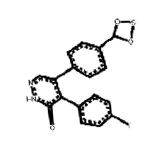 O=c1[nH]ncc(-c2ccc(C3OSO3)cc2)c1-c1ccc(F)cc1